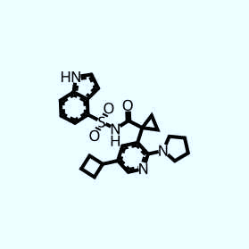 O=C(NS(=O)(=O)c1cccc2[nH]ccc12)C1(c2cc(C3CCC3)cnc2N2CCCC2)CC1